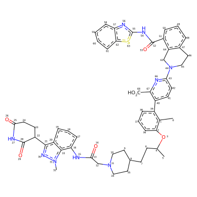 Cc1c(OC(C)CCC2CCN(CC(=O)Nc3cccc4c(C5CCC(=O)NC5=O)nn(C)c34)CC2)cccc1-c1ccc(N2CCc3cccc(C(=O)Nc4nc5ccccc5s4)c3C2)nc1C(=O)O